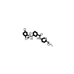 COc1ccc(NC(=O)c2cccc(NS(=O)(=O)c3cc(Cl)ccc3Cl)c2)cn1